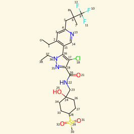 CCc1cc(CC(C)(C)C(F)(F)F)ncc1-c1c(Cl)c(C(=O)NCC2(O)CCC(S(C)(=O)=O)CC2)nn1CC